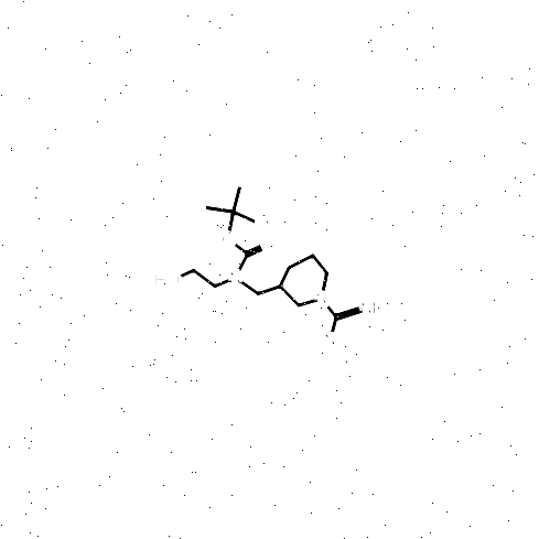 CC(C)(C)OC(=O)N(CCO)CC1CCCN(C(=N)N)C1